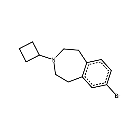 Brc1ccc2c(c1)CCN(C1CCC1)CC2